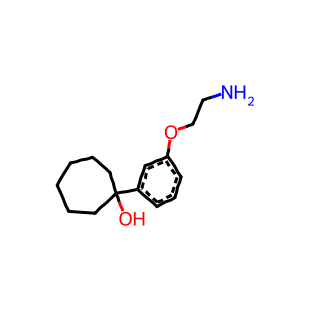 NCCOc1cccc(C2(O)CCCCCC2)c1